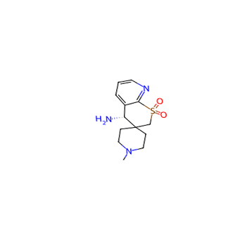 CN1CCC2(CC1)CS(=O)(=O)c1ncccc1[C@H]2N